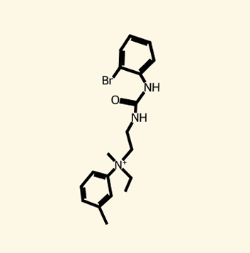 CC[N+](C)(CCNC(=O)Nc1ccccc1Br)c1cccc(C)c1